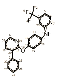 FC(F)(F)c1ccnc(Nc2ccc(Oc3ncccc3-c3ccccc3)cc2)c1